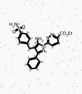 CCOC(=O)c1ccc(-n2nc(-c3ccccc3)c(Cc3ccc(S(N)(=O)=O)cc3)c2N)nn1